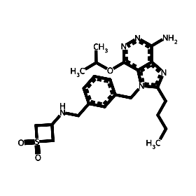 CCCCc1nc2c(N)nnc(OC(C)C)c2n1Cc1cccc(CNC2CS(=O)(=O)C2)c1